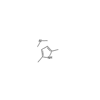 Cc1ccc(C)[nH]1.[CH3][Al][CH3]